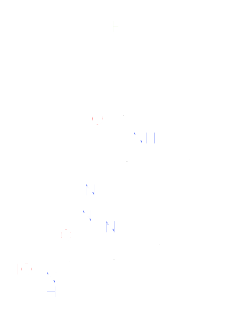 CC(C)(NC(=O)c1ccc(F)c(F)c1)c1cn([C@@H](CC(=O)NO)Cc2ccc3ccccc3c2)nn1